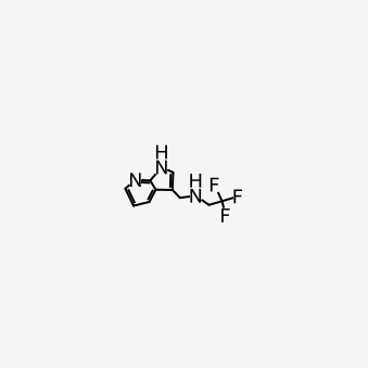 FC(F)(F)CNCc1c[nH]c2ncccc12